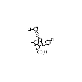 CC1Cc2c(OCc3cccc(Cl)n3)ccc3c2c(c(CC(C)(C)C(=O)O)n3Cc2ccc(Cl)cc2)S1